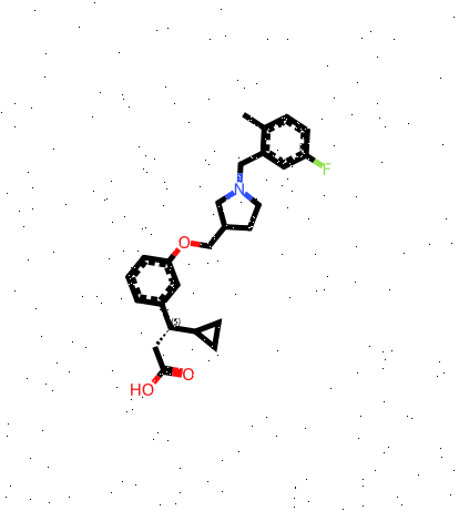 Cc1ccc(F)cc1CN1CCC(COc2cccc([C@@H](CC(=O)O)C3CC3)c2)C1